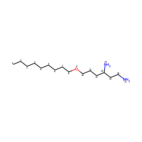 CCCCCCCCCOCCCC(N)CCN